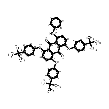 CC(C)(C)c1ccc(Sc2ccc(Nc3ccccc3)c3c2C(=O)c2c(Sc4ccc(C(C)(C)C)cc4)ccc(Sc4ccc(C(C)(C)C)cc4)c2C3=O)cc1